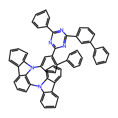 c1ccc(-c2cccc(-c3nc(-c4ccccc4)nc(-c4cc(-n5c6ccccc6c6cccc(-n7c8ccccc8c8ccccc87)c65)ccc4-c4ccccc4)n3)c2)cc1